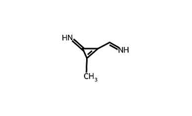 Cc1c(C=N)c1=N